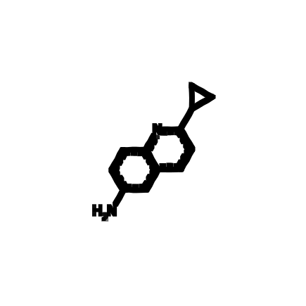 Nc1ccc2nc(C3CC3)ccc2c1